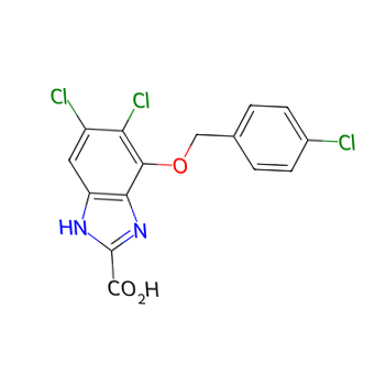 O=C(O)c1nc2c(OCc3ccc(Cl)cc3)c(Cl)c(Cl)cc2[nH]1